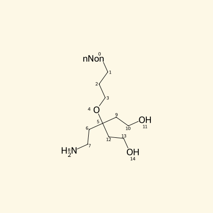 CCCCCCCCCCCCOC(CCN)(CCO)CCO